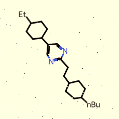 CCCCC1CCC(CCc2ncc(C3CCC(CC)CC3)cn2)CC1